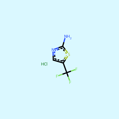 Cl.Nc1ncc(C(F)(F)F)s1